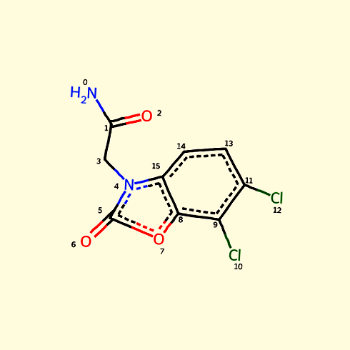 NC(=O)Cn1c(=O)oc2c(Cl)c(Cl)ccc21